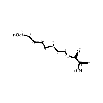 C=C(C#N)C(=O)OCCOCCCCCCCCCCCC